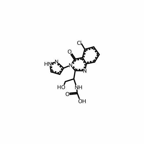 O=C(O)NC(CO)c1nc2cccc(Cl)c2c(=O)n1-c1cc[nH]n1